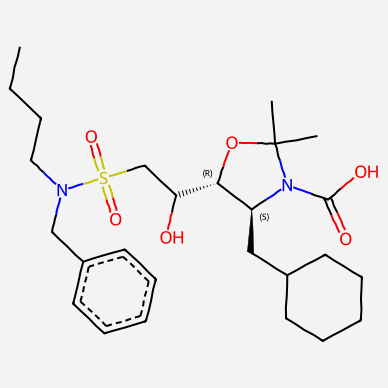 CCCCN(Cc1ccccc1)S(=O)(=O)CC(O)[C@@H]1OC(C)(C)N(C(=O)O)[C@H]1CC1CCCCC1